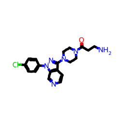 NCCC(=O)N1CCN(c2nn(-c3ccc(Cl)cc3)c3cnccc23)CC1